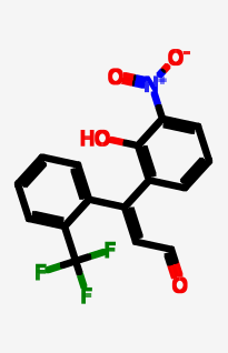 O=CC=C(c1ccccc1C(F)(F)F)c1cccc([N+](=O)[O-])c1O